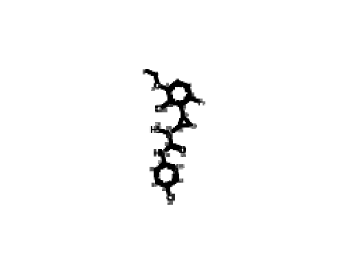 CCOc1ccc(F)c(C2CC2N(S)C(=O)Nc2ccc(Cl)cn2)c1Cl